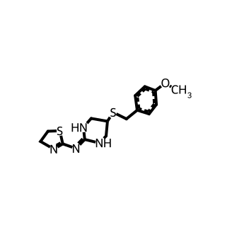 COc1ccc(CSC2CNC(=NC3=NCCS3)NC2)cc1